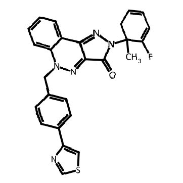 CC1(n2nc3c4ccccc4n(Cc4ccc(-c5cscn5)cc4)nc-3c2=O)CC=CC=C1F